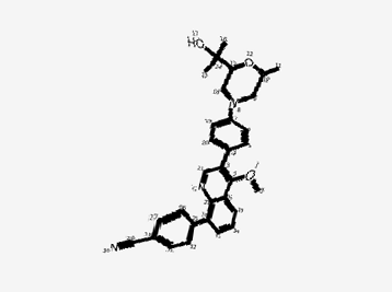 COc1c(-c2ccc(N3CC(C)OC(C(C)(C)O)C3)cc2)cnc2c(-c3ccc(C#N)cc3)cccc12